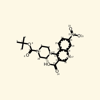 CC(C)(C)OC(=O)N1CCN(c2c(C(=O)O)cnc3cc([N+](=O)[O-])ccc23)CC1